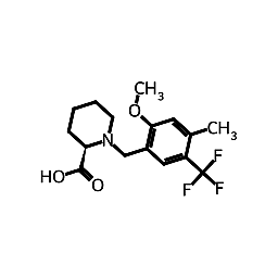 COc1cc(C)c(C(F)(F)F)cc1CN1CCCC[C@@H]1C(=O)O